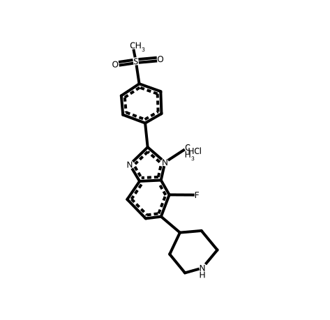 Cl.Cn1c(-c2ccc(S(C)(=O)=O)cc2)nc2ccc(C3CCNCC3)c(F)c21